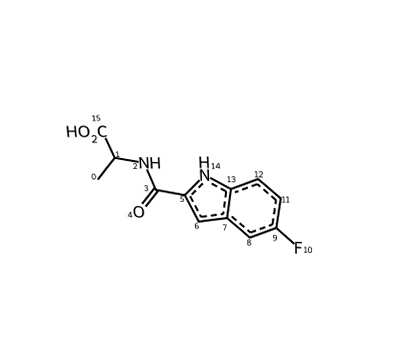 CC(NC(=O)c1cc2cc(F)ccc2[nH]1)C(=O)O